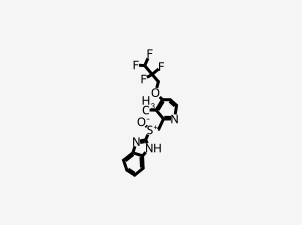 Cc1c(OCC(F)(F)C(F)F)ccnc1C[S+]([O-])c1nc2ccccc2[nH]1